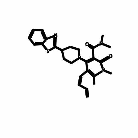 C=C/C=C\c1c(N2CCC(c3nc4ccccc4s3)CC2)c(C(=O)N(C)C)c(=O)n(C)c1C